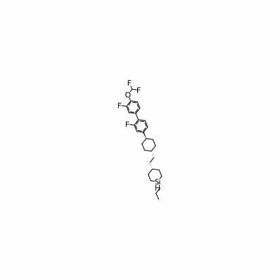 CCC[Si@H]1CC[C@H](CC[C@H]2CC[C@H](c3ccc(-c4ccc(OC(F)F)c(F)c4)c(F)c3)CC2)CC1